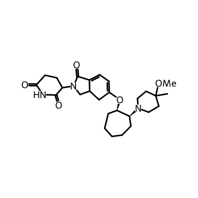 COC1(C)CCN([C@H]2CCCCC[C@H]2OC2=CC=C3C(=O)N(C4CCC(=O)NC4=O)CC3C2)CC1